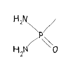 CP(N)(N)=O